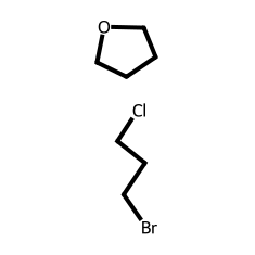 C1CCOC1.ClCCCBr